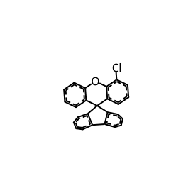 Clc1cccc2c1Oc1ccccc1C21c2ccccc2-c2ccccc21